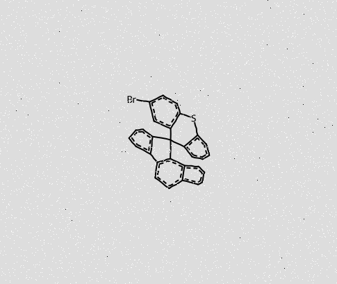 Brc1ccc2c(c1)C1(c3ccccc3S2)c2ccccc2-c2ccc3ccccc3c21